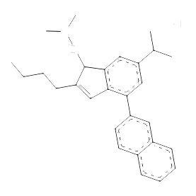 CCCCC1=Cc2c(-c3ccc4ccccc4c3)cc(C(C)C)cc2[CH]1[Zr+2][Si](C)C.[Cl-].[Cl-]